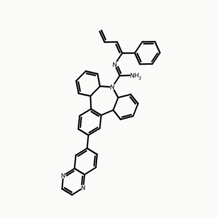 C=C/C=C(\N=C(/N)N1C2C=CC=CC2c2ccc(-c3ccc4nccnc4c3)cc2C2C=CC=CC21)c1ccccc1